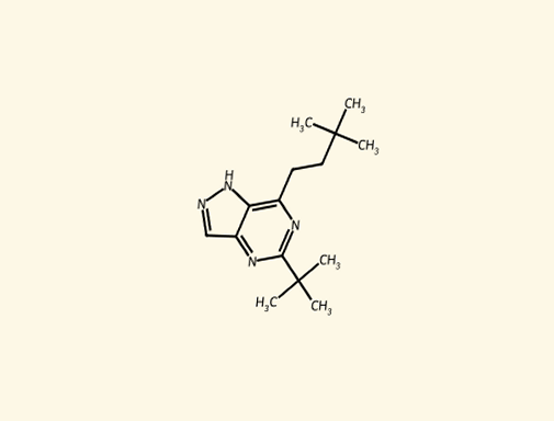 CC(C)(C)CCc1nc(C(C)(C)C)nc2cn[nH]c12